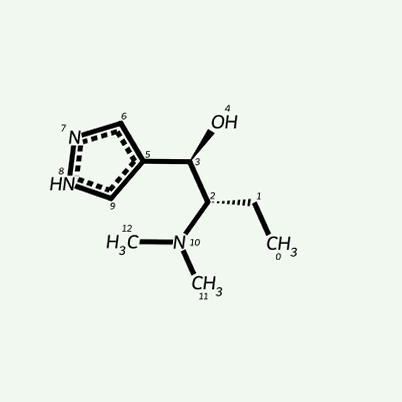 CC[C@@H]([C@H](O)c1cn[nH]c1)N(C)C